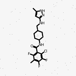 Cc1cc(NCC2CCC(NC(=O)c3c(F)c(C)c(F)c(F)c3Cl)CC2)n[nH]1